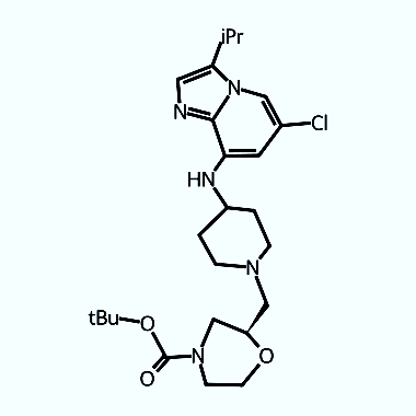 CC(C)c1cnc2c(NC3CCN(C[C@@H]4CN(C(=O)OC(C)(C)C)CCO4)CC3)cc(Cl)cn12